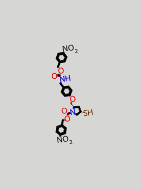 O=C(NCc1ccc(OC[C@@H]2C[C@H](S)CN2C(=O)OCc2ccc([N+](=O)[O-])cc2)cc1)OCc1ccc([N+](=O)[O-])cc1